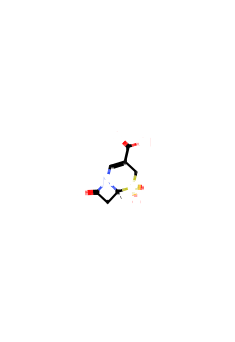 O=C(O)C1=CN2C(=O)C[C@H]2S(=O)(=O)C1